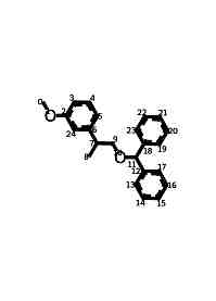 COc1cccc(C(C)COC(c2ccccc2)c2ccccc2)c1